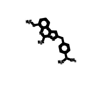 COc1cccc2c1nc(N)n1nc(Cc3ccc(N(C)C)cc3)cc21